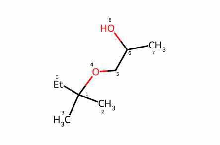 CCC(C)(C)OCC(C)O